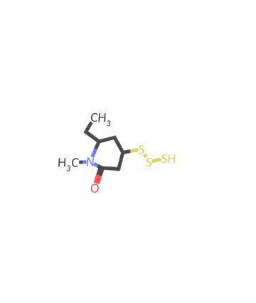 CCC1CC(SSS)CC(=O)N1C